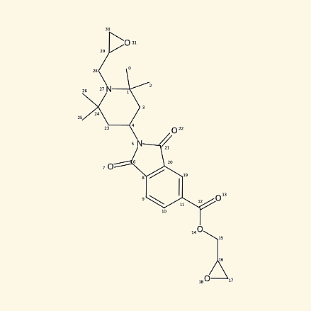 CC1(C)CC(N2C(=O)c3ccc(C(=O)OCC4CO4)cc3C2=O)CC(C)(C)N1CC1CO1